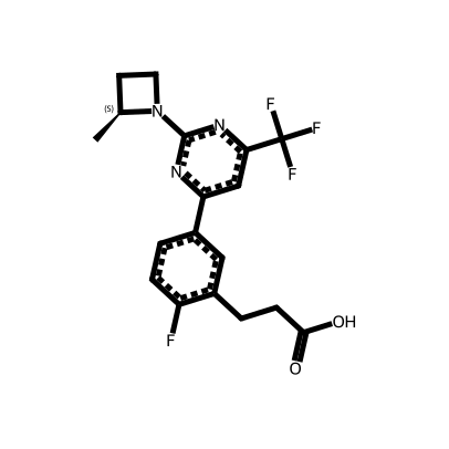 C[C@H]1CCN1c1nc(-c2ccc(F)c(CCC(=O)O)c2)cc(C(F)(F)F)n1